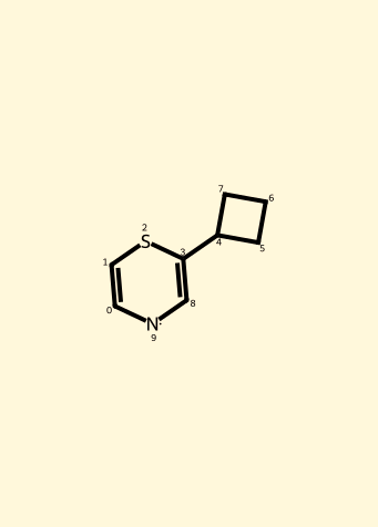 C1=CSC(C2CCC2)=C[N]1